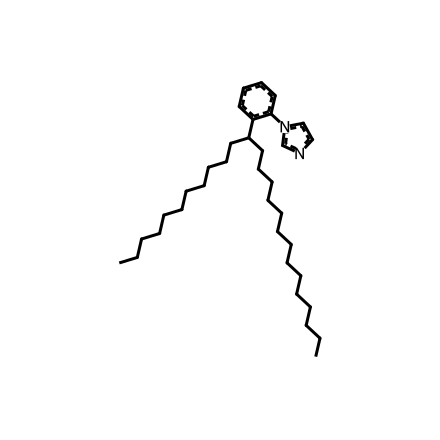 CCCCCCCCCCCCCCC(CCCCCCCCCCC)c1ccccc1-n1ccnc1